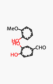 COc1ccccc1O.O=Cc1ccc(O)c(O)c1